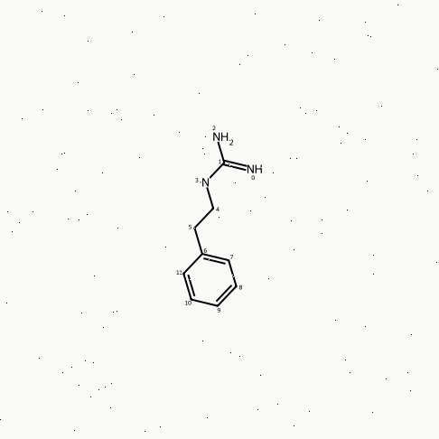 N=C(N)[N]CCc1ccccc1